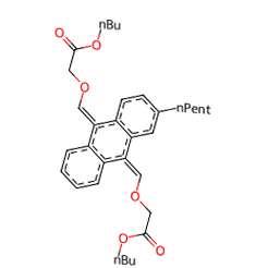 CCCCCc1ccc2c(=COCC(=O)OCCCC)c3ccccc3c(=COCC(=O)OCCCC)c2c1